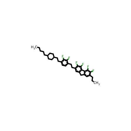 CCCCCC1CCC(CCc2ccc(CCc3cc4c(c(F)c3F)-c3c(cc(CCC)c(F)c3F)C4)c(F)c2F)CC1